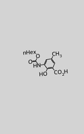 CCCCCCOC(=O)Nc1cc(C)cc(C(=O)O)c1O